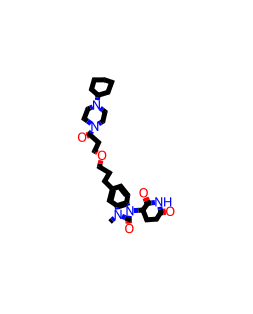 Cn1c(=O)n(C2CCC(=O)NC2=O)c2ccc(CCCOCCC(=O)N3CCN(C4CCCCC4)CC3)cc21